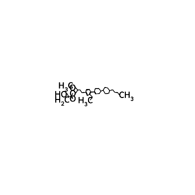 C=C(CO)C(=O)OCC(CCc1ccc(C2=CCC(C3CCC(CCCCC)CC3)CC2)c(CC)c1)COC